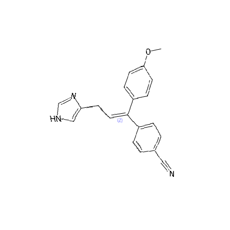 COc1ccc(/C(=C\Cc2c[nH]cn2)c2ccc(C#N)cc2)cc1